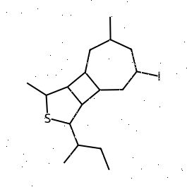 CCC(C)C1SC(C)C2C3CC(C)CC(I)CC3C12